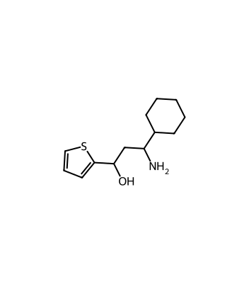 NC(CC(O)c1cccs1)C1CCCCC1